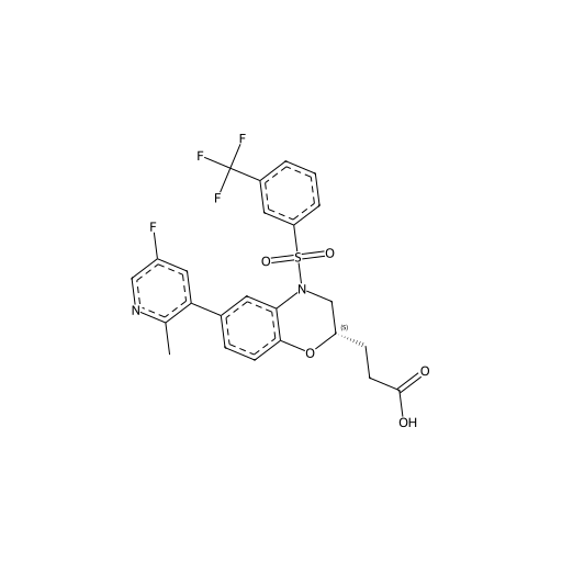 Cc1ncc(F)cc1-c1ccc2c(c1)N(S(=O)(=O)c1cccc(C(F)(F)F)c1)C[C@H](CCC(=O)O)O2